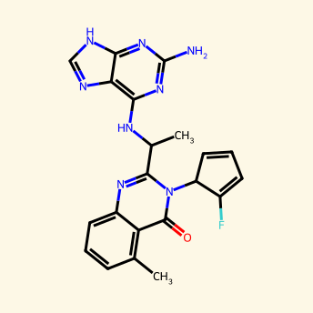 Cc1cccc2nc(C(C)Nc3nc(N)nc4[nH]cnc34)n(C3C=CC=C3F)c(=O)c12